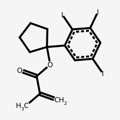 C=C(C)C(=O)OC1(c2cc(I)cc(I)c2I)CCCC1